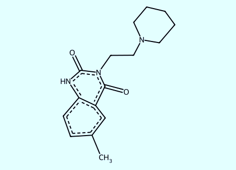 Cc1ccc2[nH]c(=O)n(CCN3CCCCC3)c(=O)c2c1